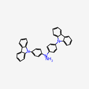 NN(c1ccc(-n2c3ccccc3c3ccccc32)cc1)c1ccc(-n2c3ccccc3c3ccccc32)cc1